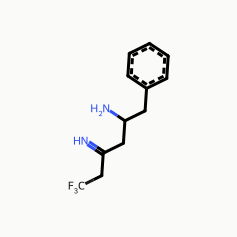 N=C(CC(N)Cc1ccccc1)CC(F)(F)F